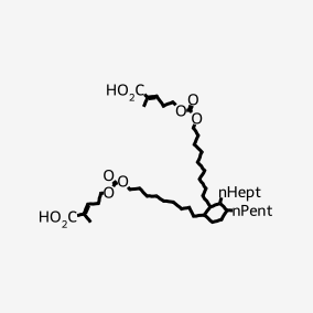 CCCCCCCC1C(CCCCC)CCC(CCCCCCCCCOC(=O)OCCC=C(C)C(=O)O)C1CCCCCCCCCOC(=O)OCCC=C(C)C(=O)O